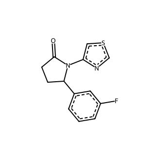 O=C1CCC(c2cccc(F)c2)N1c1cscn1